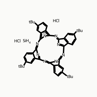 CC(C)(C)c1ccc2c(c1)-c1nc-2nc2[nH]c(nc3nc(nc4[nH]c(n1)c1ccc(C(C)(C)C)cc41)-c1ccc(C(C)(C)C)cc1-3)c1ccc(C(C)(C)C)cc21.Cl.Cl.[SiH4]